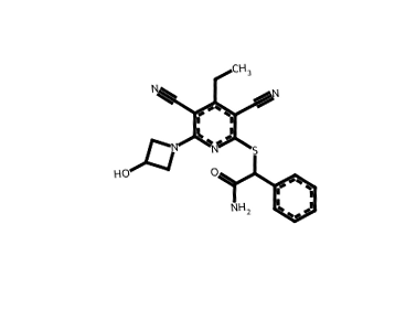 CCc1c(C#N)c(SC(C(N)=O)c2ccccc2)nc(N2CC(O)C2)c1C#N